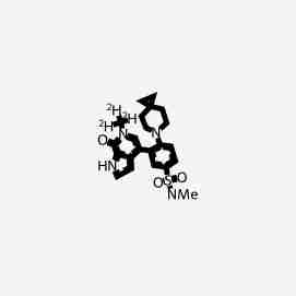 [2H]C([2H])([2H])n1cc(-c2cc(S(=O)(=O)NC)ccc2N2CCC3(CC2)CC3)c2cc[nH]c2c1=O